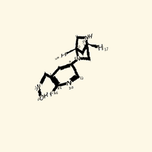 O/N=C\c1cc(N2C[C@@H]3C[C@H]2CN3)cnc1F